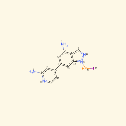 Nc1cc(-c2cc(N)c3cnn(PI)c3c2)ccn1